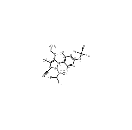 CCOC1=C(Cl)C(C#N)N([S+]([O-])C(F)F)N1c1c(Cl)cc(OC(F)(F)F)cc1Cl